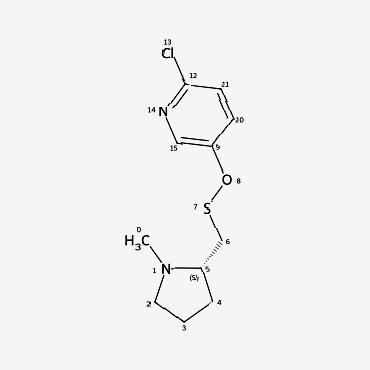 CN1CCC[C@H]1CSOc1ccc(Cl)nc1